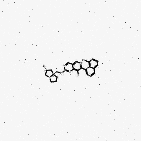 CCc1cccc2cccc(-c3ncc4cnc(OC[C@@]56CCCN5C[C@H](F)C6)nc4c3F)c12